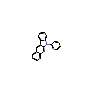 [c]1ccc2c(c1)c1cc3ccccc3cc1n2-c1ccccc1